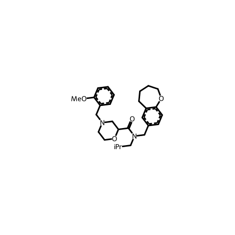 COc1ccccc1CN1CCOC(C(=O)N(Cc2ccc3c(c2)CCCCO3)CC(C)C)C1